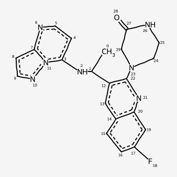 CC(Nc1ccnc2ccnn12)c1cc2ccc(F)cc2nc1N1CCNC(=O)C1